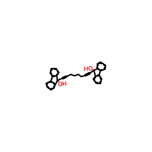 OC1(C#CCCCCC#CC2(O)c3ccccc3-c3ccccc32)c2ccccc2-c2ccccc21